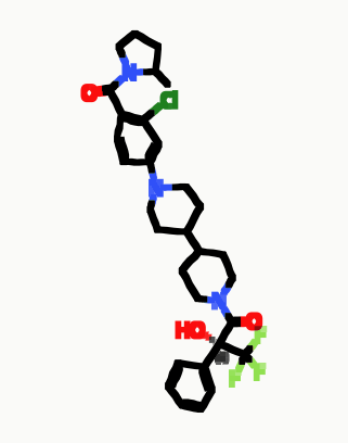 CC1CCCN1C(=O)c1ccc(N2CCC(C3CCN(C(=O)[C@](O)(c4ccccc4)C(F)(F)F)CC3)CC2)cc1Cl